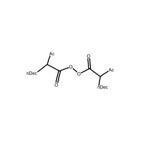 CCCCCCCCCCC(C(C)=O)C(=O)OOC(=O)C(CCCCCCCCCC)C(C)=O